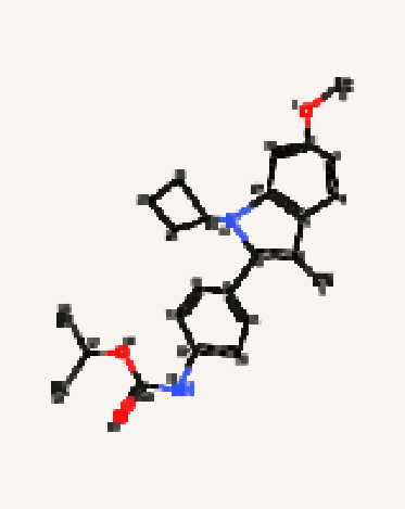 CCOc1ccc2c(C#N)c(-c3ccc(NC(=O)OC(CC)CC)cc3)n(C3CCC3)c2c1